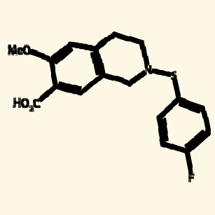 COc1cc2c(cc1C(=O)O)CN(Sc1ccc(F)cc1)CC2